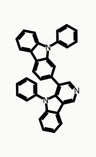 c1ccc(-n2c3ccccc3c3ccc(-c4cncc5c6ccccc6n(-c6ccccc6)c45)cc32)cc1